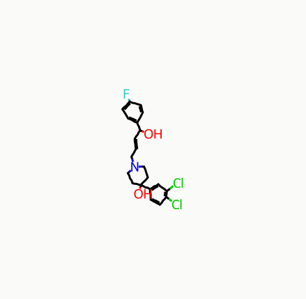 OC(C=CCN1CCC(O)(c2ccc(Cl)c(Cl)c2)CC1)c1ccc(F)cc1